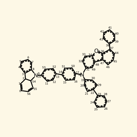 C1=CC2c3ccccc3N(c3ccc(-c4ccc(N(c5ccc(-c6ccccc6)cc5)c5ccc6oc7c(-c8ccccc8)cccc7c6c5)cc4)cc3)C2C=C1